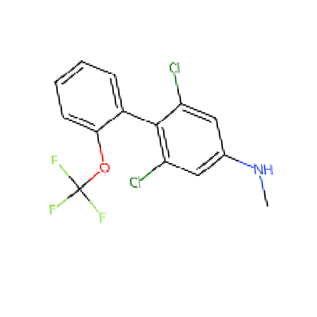 CNc1cc(Cl)c(-c2ccccc2OC(F)(F)F)c(Cl)c1